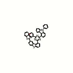 c1ccc(-c2nc(-c3cccc4sc5ccc(-c6nc7ccccc7s6)cc5c34)nc(-c3cccc4c3c3ccccc3n4-c3ccccc3)n2)cc1